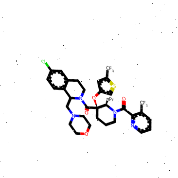 CCC[C@H]1N(C(=O)c2ncccc2C(F)(F)F)CCC[C@]1(Oc1csc(C(F)(F)F)c1)C(=O)N1CCc2cc(Cl)ccc2C1CN1CCOCC1